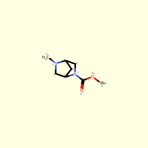 CN1CC2CC1CN2C(=O)OC(C)(C)C